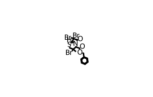 CC1(Br)CS[C@H]2N(C(=O)C2(Br)Br)C1C(=O)OCc1ccccc1